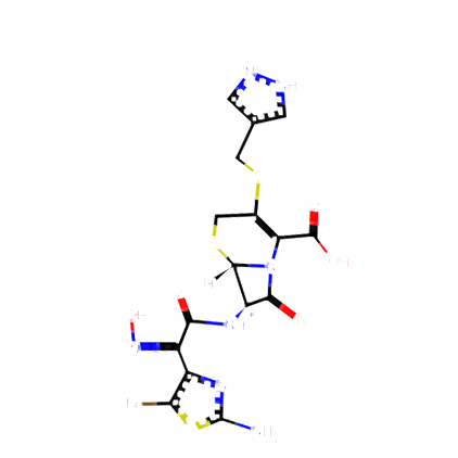 Nc1nc(/C(=N/O)C(=O)N[C@@H]2C(=O)N3C(C(=O)O)=C(SCc4cn[nH]c4)CS[C@@H]23)c(Br)s1